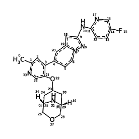 Cc1cc(-c2ccn3nc(Nc4ccc(F)cn4)cc3c2)c(OC2C[C@H]3COC[C@@H](C2)N3)cn1